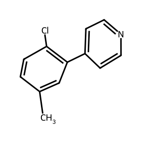 Cc1ccc(Cl)c(-c2ccncc2)c1